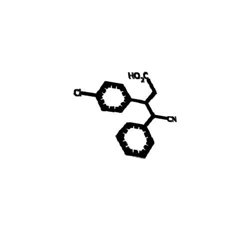 N#CC(c1ccccc1)C(CC(=O)O)c1ccc(Cl)cc1